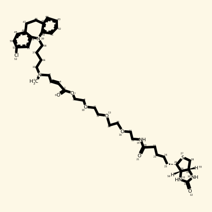 CN(C/C=C/C(=O)OCCOCCOCCOCCNC(=O)CCCC[C@@H]1SC[C@@H]2NC(=O)N[C@@H]21)CCCCN1c2ccccc2CCc2ccc(Cl)cc21